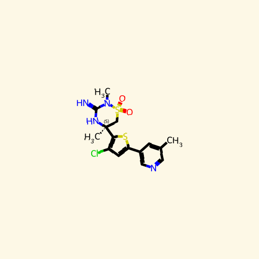 Cc1cncc(-c2cc(Cl)c([C@]3(C)CS(=O)(=O)N(C)C(=N)N3)s2)c1